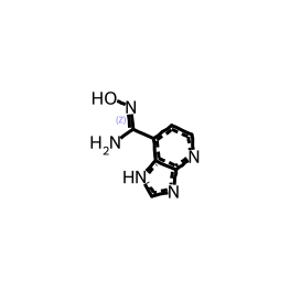 N/C(=N\O)c1ccnc2nc[nH]c12